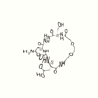 NC(=O)C[C@@H]1NC(=O)N[C@@H](CC(=O)O)C(=O)NCCOCCOCC(=O)N[C@@H](CO)C(=O)NNC1=O